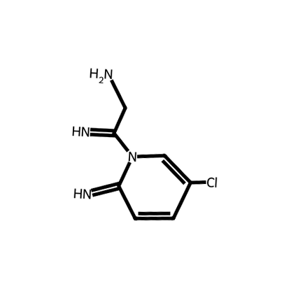 N=C(CN)n1cc(Cl)ccc1=N